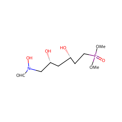 COP(=O)(CC[C@@H](O)C[C@@H](O)CN(O)C=O)OC